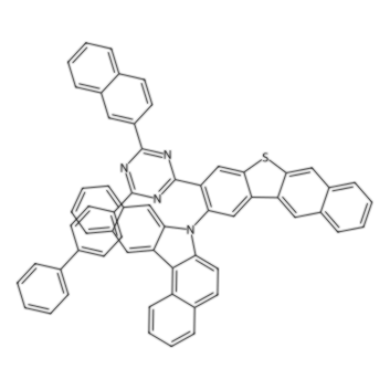 c1ccc(-c2ccc(-c3nc(-c4ccc5ccccc5c4)nc(-c4cc5sc6cc7ccccc7cc6c5cc4-n4c5cc6ccccc6cc5c5c6ccccc6ccc54)n3)cc2)cc1